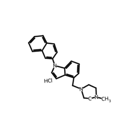 CN1CCN(Cc2cccc3c2ccn3-c2ccc3ccccc3c2)CC1.Cl